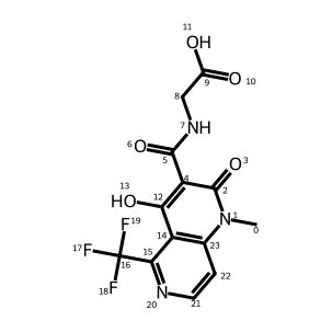 Cn1c(=O)c(C(=O)NCC(=O)O)c(O)c2c(C(F)(F)F)nccc21